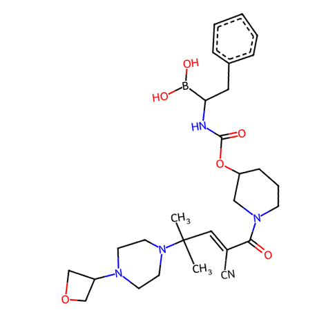 CC(C)(C=C(C#N)C(=O)N1CCCC(OC(=O)NC(Cc2ccccc2)B(O)O)C1)N1CCN(C2COC2)CC1